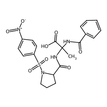 CC(NC(=O)c1ccccc1)(NC(=O)C1CCCN1S(=O)(=O)c1ccc([N+](=O)[O-])cc1)C(=O)O